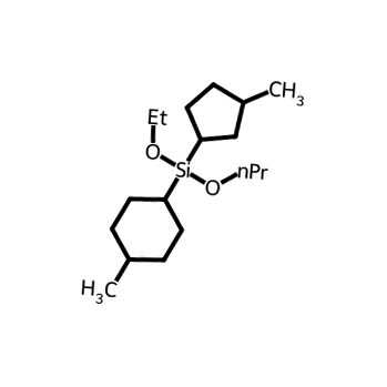 CCCO[Si](OCC)(C1CCC(C)CC1)C1CCC(C)C1